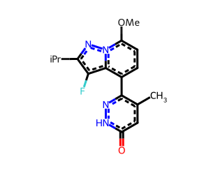 COc1ccc(-c2n[nH]c(=O)cc2C)c2c(F)c(C(C)C)nn12